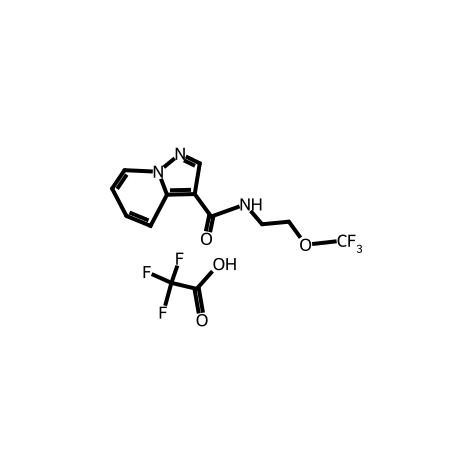 O=C(NCCOC(F)(F)F)c1cnn2ccccc12.O=C(O)C(F)(F)F